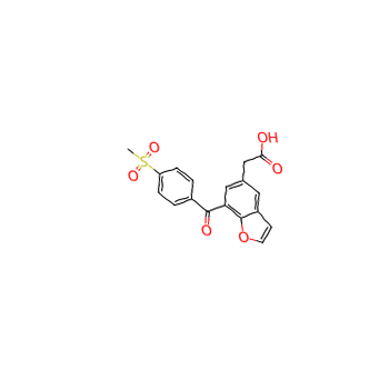 CS(=O)(=O)c1ccc(C(=O)c2cc(CC(=O)O)cc3ccoc23)cc1